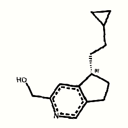 OCc1cc2c(cn1)CC[C@H]2CCC1CC1